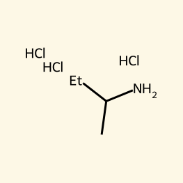 CCC(C)N.Cl.Cl.Cl